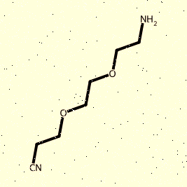 N#CCCOCCOCCN